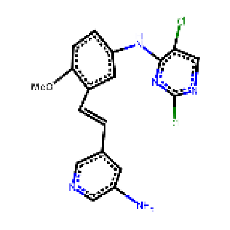 COc1ccc(Nc2nc(Cl)ncc2Cl)cc1/C=C/c1cncc(N)c1